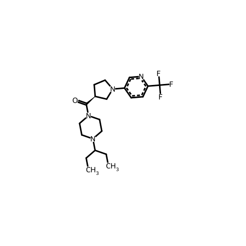 CCC(CC)N1CCN(C(=O)[C@H]2CCN(c3ccc(C(F)(F)F)nc3)C2)CC1